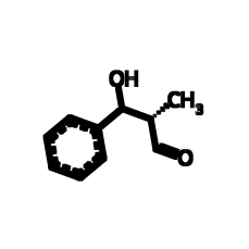 C[C@H](C=O)C(O)c1ccccc1